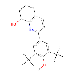 COc1c(C(C)(C)C)cc(-c2ccc3c(n2)C(O)CCC3)cc1C(C)(C)C